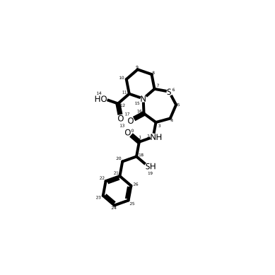 O=C(NC1CCSC2CCCC(C(=O)O)N2C1=O)C(S)Cc1ccccc1